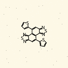 c1csc(-c2cc3nsnc3c3c(-c4cccs4)cc4nsnc4c23)c1